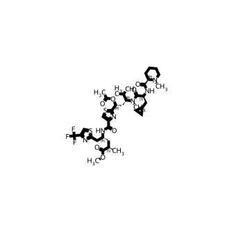 COC(=O)[C@@H](C)C[C@H](Cc1nc(C(F)(F)F)cs1)NC(=O)c1csc([C@@H](C[C@H](C(C)C)N(C)C(=O)[C@H](CC2CC2)NC(=O)[C@H]2CCCCN2C)OC(C)=O)n1